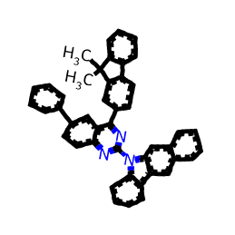 CC1(C)c2ccccc2-c2ccc(-c3nc(-n4c5ccccc5c5cc6ccccc6cc54)nc4ccc(-c5ccccc5)cc34)cc21